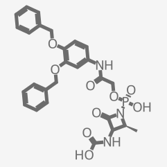 C[C@H]1C(NC(=O)O)C(=O)N1P(=O)(O)OCC(=O)Nc1ccc(OCc2ccccc2)c(OCc2ccccc2)c1